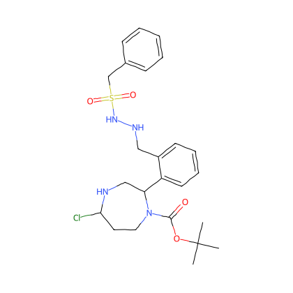 CC(C)(C)OC(=O)N1CCC(Cl)NCC1c1ccccc1CNNS(=O)(=O)Cc1ccccc1